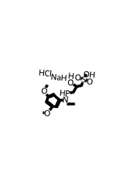 CCN(PCC(O)CS(=O)(=O)O)c1cc(OC)cc(OC)c1.Cl.[NaH]